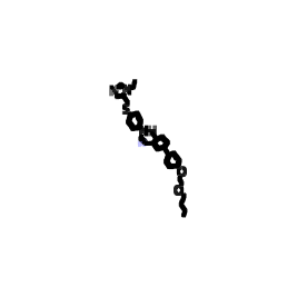 CCCCOCCOc1ccc(-c2ccc(C)c(/C=C\Nc3ccc(SCc4cncn4CC)cc3)c2)cc1